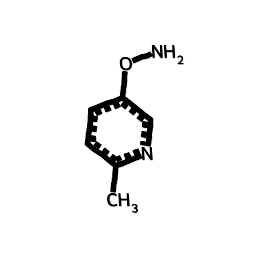 Cc1ccc(ON)cn1